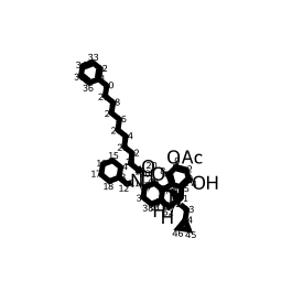 CC(=O)Oc1cc(O)c2c3c1O[C@H]1[C@H](N(CC4CCCCC4)C(=O)CCCCCCCCCCc4ccccc4)CC[C@H]4[C@@H](C2)N(CC2CC2)CC[C@@]341